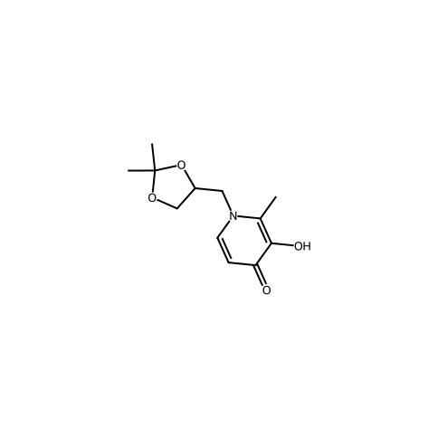 Cc1c(O)c(=O)ccn1CC1COC(C)(C)O1